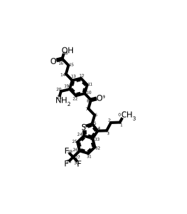 CCCCc1c(CCC(=O)c2ccc(CCC(=O)O)c(CN)c2)sc2cc(C(F)(F)F)ccc12